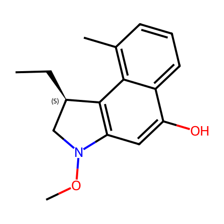 CC[C@@H]1CN(OC)c2cc(O)c3cccc(C)c3c21